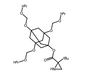 CCCOCOC12CC3(OCOCCC)CC(OCOCCC)(C1)CC(OC(=O)C1(C(C)(C)C)CN1)(C2)C3